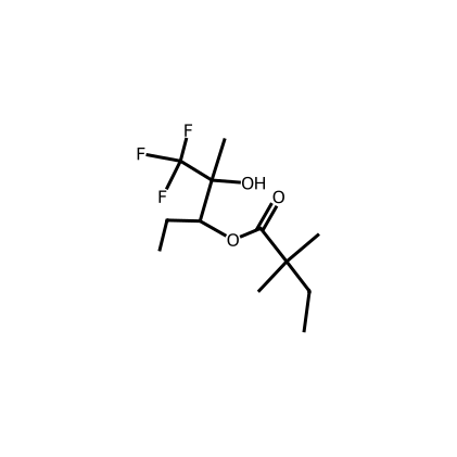 CCC(OC(=O)C(C)(C)CC)C(C)(O)C(F)(F)F